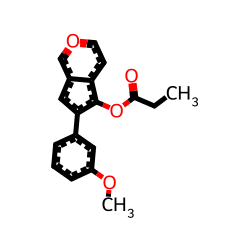 CCC(=O)Oc1c2ccocc-2cc1-c1cccc(OC)c1